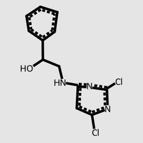 OC(CNc1cc(Cl)nc(Cl)n1)c1ccccc1